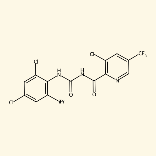 CC(C)c1cc(Cl)cc(Cl)c1NC(=O)NC(=O)c1ncc(C(F)(F)F)cc1Cl